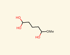 COC(O)CCCC(O)O